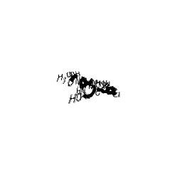 COC(=O)CNc1ccc2c(c1)N[C@@H](CO)CCCC[C@H](NC(=O)/C=C/c1cc(Cl)ccc1-n1cnnn1)c1nc-2c[nH]1